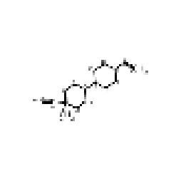 C=CC1CCC(C2CCC(C)(C#N)CC2)CC1